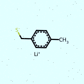 Cc1ccc(C[S-])cc1.[Li+]